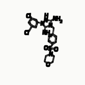 NC1NN(c2cc(Cl)cc(Cl)c2)C(N)N1Cc1ccc(S(=O)(=O)N2CCOCC2)cc1